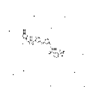 O=C(NCCc1cccc(Oc2ccnc(-c3ncc(CN4CCNCC4)[nH]3)c2)c1)c1cccc(C(F)(F)F)c1